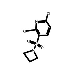 O=S(=O)(c1ccc(Cl)nc1Cl)N1CCC1